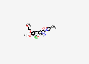 COCCCOc1cc(C[C@@H](C[C@H](N)[C@@H](O)CN2CCC(C)CC2)C(C)C)ccc1OC.Cl.Cl